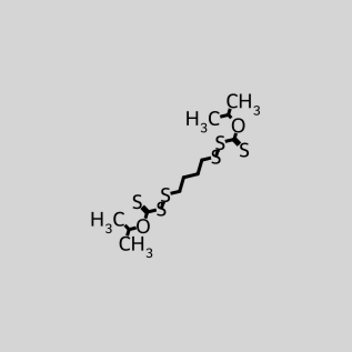 CC(C)OC(=S)SSCCCCSSC(=S)OC(C)C